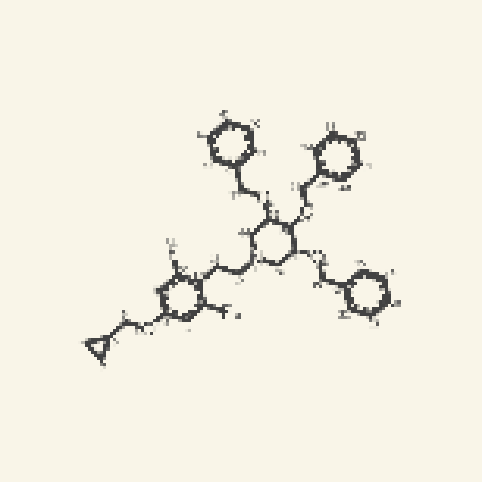 Fc1cc(OCC2CC2)cc(F)c1CCN1C[C@H](OCc2ccccc2)C(OCc2ccccc2)[C@H](OCc2ccccc2)C1